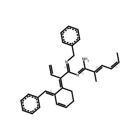 C=CC(=C1CCC=C/C1=C\c1ccccc1)C(=N/Cc1ccccc1)/N=C(N)/C(C)=C/C=C\C